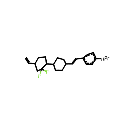 C=CC1CCC(C2CCC(/C=C/c3ccc(CCC)cc3)CC2)C(F)(F)C1